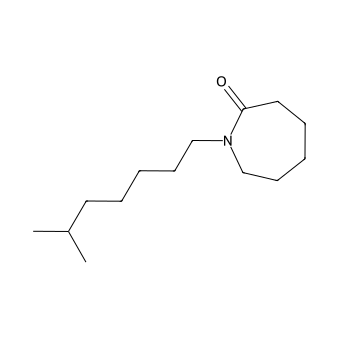 CC(C)CCCCCN1CCCCCC1=O